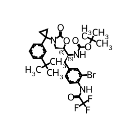 CC(C)(C)OC(=O)N[C@@H](Cc1ccc(NC(=O)C(F)(F)F)c(Br)c1)[C@H]1CN(C2(c3cccc(C(C)(C)C)c3)CC2)C(=O)O1